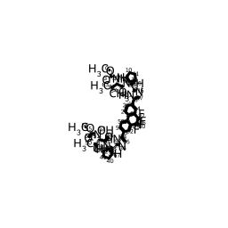 COC(=O)N[C@H](C(=O)N1[C@@H]2CC[C@@H](C2)[C@H]1c1ncc(-c2ccc3c(c2)C(F)(F)C(F)(F)c2cc(-c4cnc([C@@H]5[C@H]6CC[C@H](C6)N5C(=O)[C@H](C(C)C)N(O)C(=O)OC)[nH]4)ccc2-3)[nH]1)C(C)C